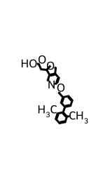 Cc1cccc(C)c1-c1cccc(COc2cc3c(cn2)C(CC(=O)O)OC3)c1